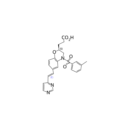 Cc1cccc(S(=O)(=O)N2C[C@H](CCC(=O)O)Oc3ccc(/C=C/c4ccncn4)cc32)c1